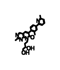 Cc1cccc(-c2ccc(-c3cc4cnc(C)nc4n(CC[C@@H](O)CO)c3=O)c(C)c2)n1